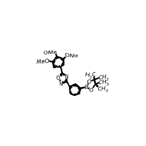 COc1cc(-c2nc(-c3cccc(B4OC(C)(C)C(C)(C)O4)c3)no2)cc(OC)c1OC